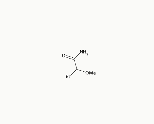 [CH2]CC(OC)C(N)=O